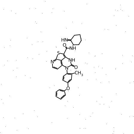 Cc1cc(Oc2ccccc2)ccc1N1C(=O)Nc2c(C(=O)N[C@H]3CCCCC3=N)sc3nccc1c23